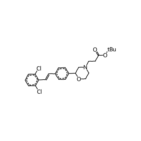 CC(C)(C)OC(=O)CCN1CCOC(c2ccc(/C=C/c3c(Cl)cccc3Cl)cc2)C1